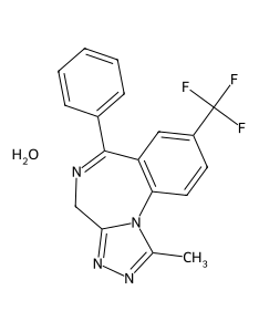 Cc1nnc2n1-c1ccc(C(F)(F)F)cc1C(c1ccccc1)=NC2.O